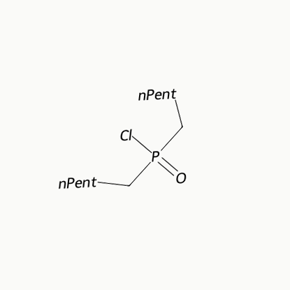 CCCCCCP(=O)(Cl)CCCCCC